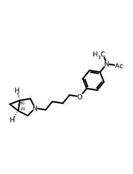 CC(=O)N(C)c1ccc(OCCCCN2C[C@H]3C[C@H]3C2)cc1